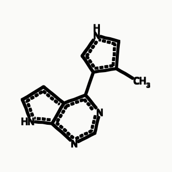 Cc1c[nH]cc1-c1ncnc2[nH]ccc12